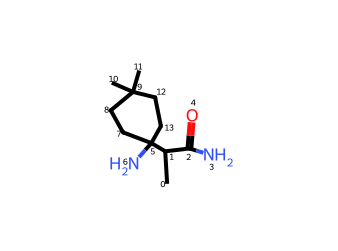 CC(C(N)=O)C1(N)CCC(C)(C)CC1